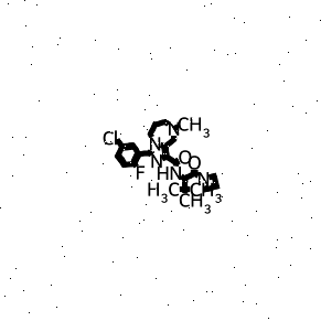 CN1CCCn2c(-c3cc(Cl)ccc3F)nc(C(=O)NC(C(=O)N3CCC3)C(C)(C)C)c2C1